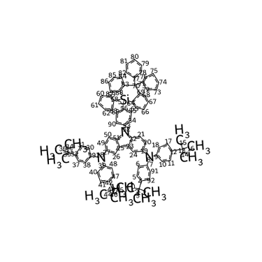 CC(C)(C)c1ccc(N(c2ccc(C(C)(C)C)cc2)c2ccc3c(c2)c2cc(N(c4ccc(C(C)(C)C)cc4)c4ccc(C(C)(C)C)cc4)ccc2n3-c2ccc([Si]3(c4ccccc4)c4ccccc4C(c4ccccc4)(c4ccccc4)c4ccccc43)cc2)cc1